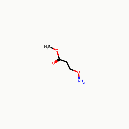 BOC(=O)CCON